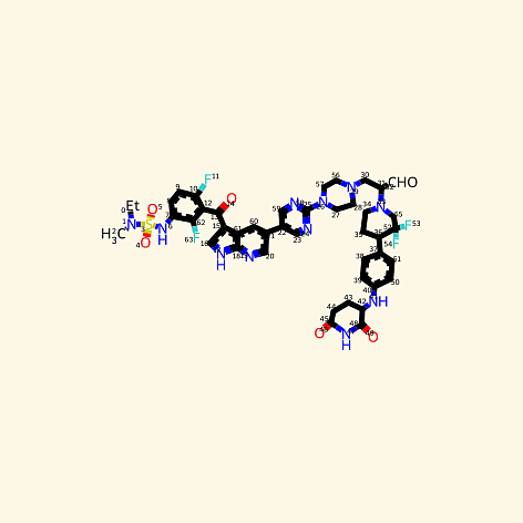 CCN(C)S(=O)(=O)Nc1ccc(F)c(C(=O)c2c[nH]c3ncc(-c4cnc(N5CCN(CC(C=O)N6CCC(c7ccc(NC8CCC(=O)NC8=O)cc7)C(F)(F)C6)CC5)nc4)cc23)c1F